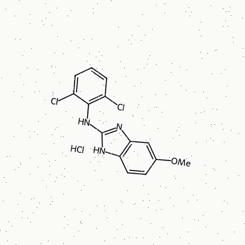 COc1ccc2[nH]c(Nc3c(Cl)cccc3Cl)nc2c1.Cl